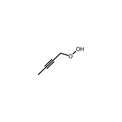 CC#CCOO